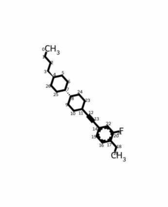 CCCC[C@H]1CC[C@H](C2CCC(C#Cc3ccc(CC)c(F)c3)CC2)CC1